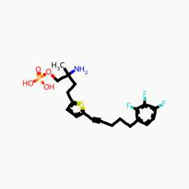 CC(N)(CCc1ccc(C#CCCCc2ccc(F)c(F)c2F)s1)COP(=O)(O)O